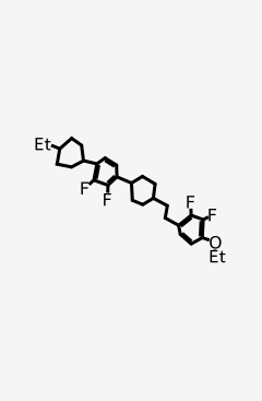 CCOc1ccc(CCC2CCC(c3ccc(C4CCC(CC)CC4)c(F)c3F)CC2)c(F)c1F